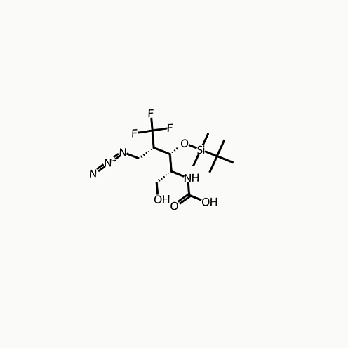 CC(C)(C)[Si](C)(C)O[C@H]([C@@H](CO)NC(=O)O)[C@H](CN=[N+]=[N-])C(F)(F)F